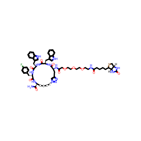 NC(=O)[C@@H]1CCCCn2cc(nn2)C[C@H](NC(=O)COCCOCCOCCNC(=O)CCCCC2SC[C@@H]3NC(=O)N[C@H]23)C(=O)N[C@H](Cc2c[nH]c3ccccc23)C(=O)N[C@H](Cc2c[nH]c3ccccc23)C(=O)N[C@@H](Cc2ccc(F)cc2)C(=O)N1